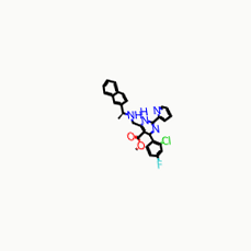 COC(=O)C1=C(CN[C@@H](C)c2ccc3ccccc3c2)NC(c2ccccn2)=NC1c1ccc(F)cc1Cl